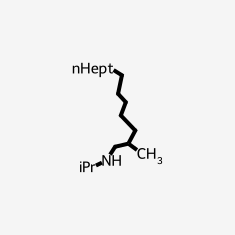 CCCCCCCCCCCCC(C)CNC(C)C